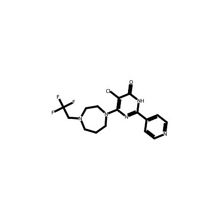 O=c1[nH]c(-c2ccncc2)nc(N2CCCN(CC(F)(F)F)CC2)c1Cl